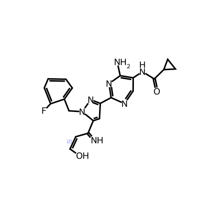 N=C(/C=C\O)c1cc(-c2ncc(NC(=O)C3CC3)c(N)n2)nn1Cc1ccccc1F